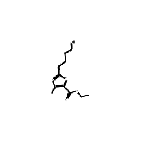 CCOC(=O)c1sc(CCCCO)nc1C